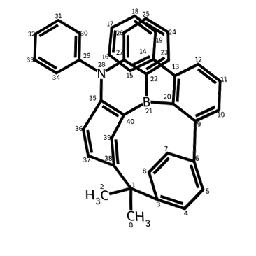 CC1(C)c2ccc(cc2)-c2cccc(-c3ccccc3)c2B2c3ccccc3N(c3ccccc3)c3ccc1cc32